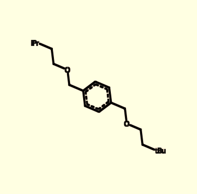 CC(C)CCOCc1ccc(COCCC(C)(C)C)cc1